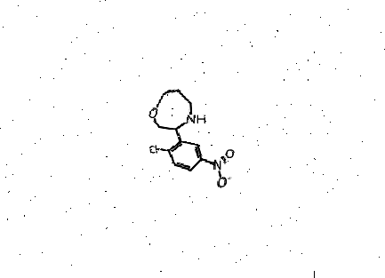 O=[N+]([O-])c1ccc(Cl)c(C2COCCCN2)c1